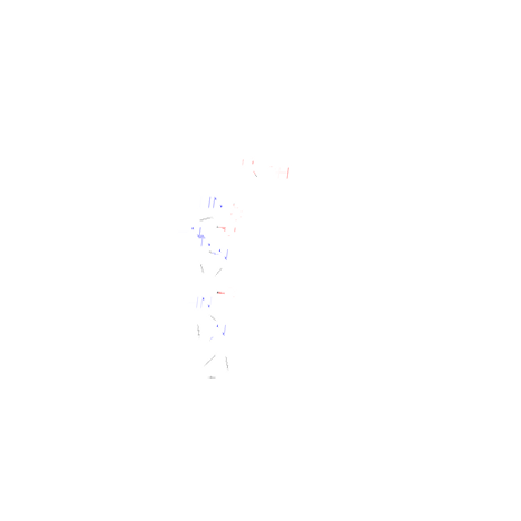 Cc1[nH]n(-c2ccc(C(=O)Nc3ccc(-c4ccccc4)nc3)cn2)c(=O)c1NC(=O)CCC(=O)O